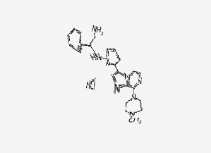 CN1CCN(c2nccn3c(-c4cccc(NC(CN)c5ccccc5)n4)cnc23)CC1.Cl